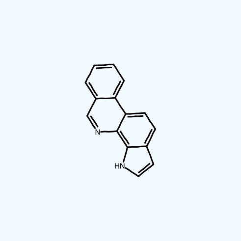 c1ccc2c(c1)cnc1c2ccc2cc[nH]c21